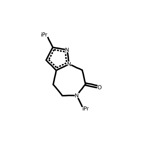 CC(C)c1cc2n(n1)CC(=O)N(C(C)C)CC2